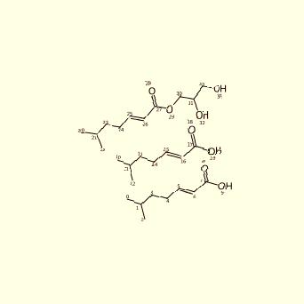 CC(C)CCC=CC(=O)O.CC(C)CCC=CC(=O)O.CC(C)CCC=CC(=O)OCC(O)CO